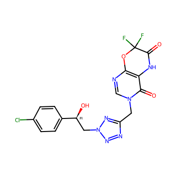 O=C1Nc2c(ncn(Cc3nnn(C[C@H](O)c4ccc(Cl)cc4)n3)c2=O)OC1(F)F